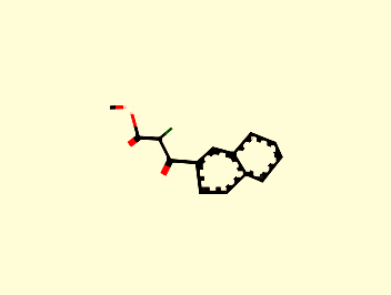 COC(=O)C(Cl)C(=O)c1ccc2ccccc2c1